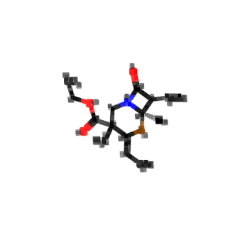 CC(=O)NC1C(=O)N2CC(C)(C(=O)OCC(Cl)(Cl)Cl)C(=COC(C)=O)S[C@H]12